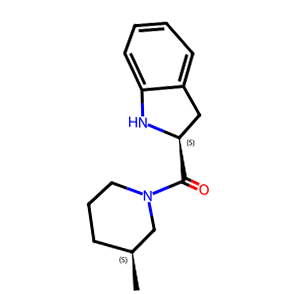 C[C@H]1CCCN(C(=O)[C@@H]2Cc3ccccc3N2)C1